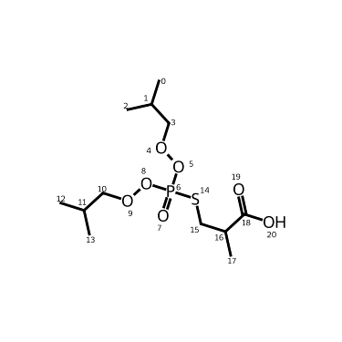 CC(C)COOP(=O)(OOCC(C)C)SCC(C)C(=O)O